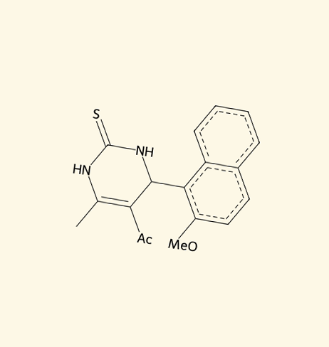 COc1ccc2ccccc2c1C1NC(=S)NC(C)=C1C(C)=O